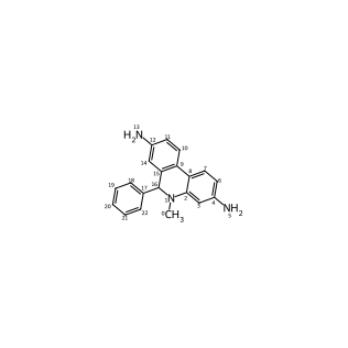 CN1c2cc(N)ccc2-c2ccc(N)cc2C1c1ccccc1